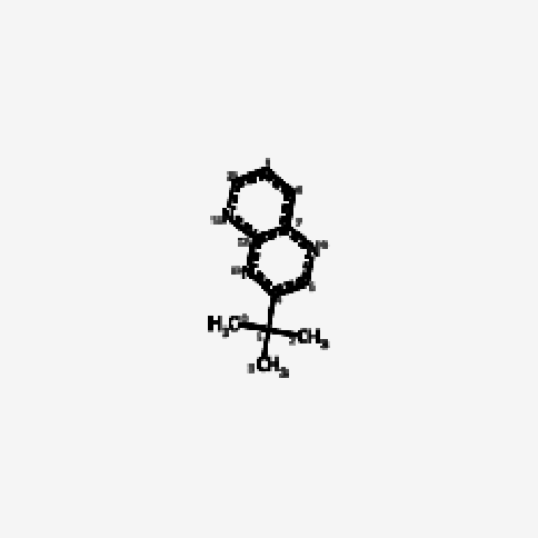 CC(C)(C)c1cnc2cccnc2n1